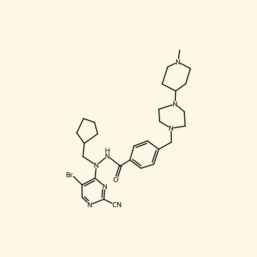 CN1CCC(N2CCN(Cc3ccc(C(=O)NN(CC4CCCC4)c4nc(C#N)ncc4Br)cc3)CC2)CC1